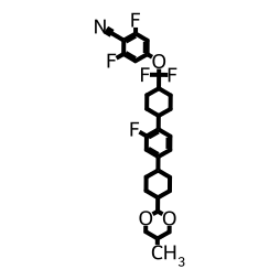 CC1COC(C2CCC(c3ccc(C4CCC(C(F)(F)Oc5cc(F)c(C#N)c(F)c5)CC4)c(F)c3)CC2)OC1